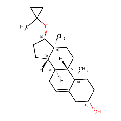 CC1(O[C@H]2CC[C@H]3[C@@H]4CC=C5C[C@@H](O)CC[C@]5(C)[C@H]4CC[C@]23C)CC1